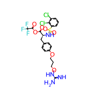 N=C(N)NOCCCOc1ccc(C[C@H](NS(=O)(=O)c2cccc(Cl)c2Cl)C(=O)OC(=O)C(F)(F)F)cc1